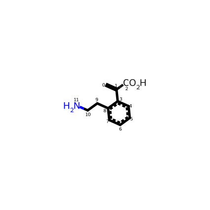 C=C(C(=O)O)c1ccccc1CCN